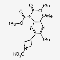 COc1nc(C(C)(C)C)c(C2CN(C(=O)O)C2)nc1N(C(=O)OC(C)(C)C)C(=O)OC(C)(C)C